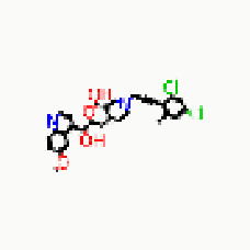 COc1ccc2nccc([C@H](O)CC[C@@H]3CCN(CC#Cc4c(C)cc(Cl)cc4Cl)C[C@@H]3C(=O)O)c2c1